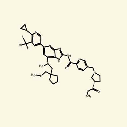 COCC1(CN(C)c2cc(-c3cnc(C4CC4)c(C(F)(F)F)c3)nc3nc(NC(=O)c4ccc(CN5CC[C@H](C(=O)OC)C5)cn4)[nH]c23)CCCC1